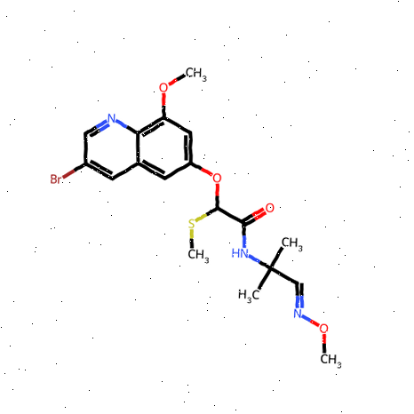 CO/N=C/C(C)(C)NC(=O)C(Oc1cc(OC)c2ncc(Br)cc2c1)SC